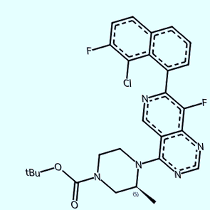 C[C@H]1CN(C(=O)OC(C)(C)C)CCN1c1ncnc2c(F)c(-c3cccc4ccc(F)c(Cl)c34)ncc12